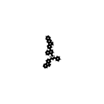 CC1(C)c2ccccc2-c2ccc(-c3cc(-c4ccccc4)nc(-c4ccc(-c5ccc6c(c5)C(C)(C)c5cc7ccccc7cc5-6)c5ccccc45)n3)cc21